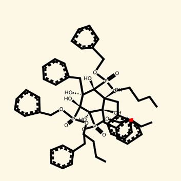 CCCCOP(=O)(OCc1ccccc1)[C@@]1(O)[C@](O)(Cc2ccccc2)[C@@](O)(P(=O)(OCCCC)OCc2ccccc2)[C@](O)(P(=O)(OCCCC)OCc2ccccc2)[C@@](O)(Cc2ccccc2)[C@@]1(O)Cc1ccccc1